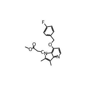 COC(=O)CCn1c(C)c(C)c2nccc(OCc3ccc(F)cc3)c21